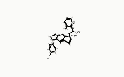 OC(C[C@]1(O)CCC2=Cc3c(cnn3-c3ccc(F)cc3)CC21)c1ncccc1Cl